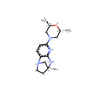 C[C@@H]1CN(c2ccc3c(n2)N[C@H]2CCN3C2)C[C@@H](C)O1